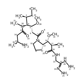 CC[C@H](C)[C@@H]([C@@H](CC(=O)N1CCC[C@H]1[C@H](OC)[C@@H](C)C(=O)NC/C(=N/N)NN)OC)N(C)C(=O)C[C@H](C)N